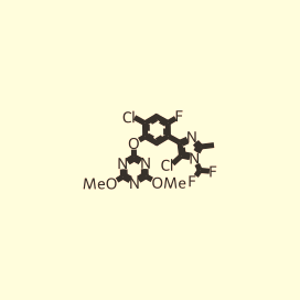 COc1nc(OC)nc(Oc2cc(-c3nc(C)n(C(F)F)c3Cl)c(F)cc2Cl)n1